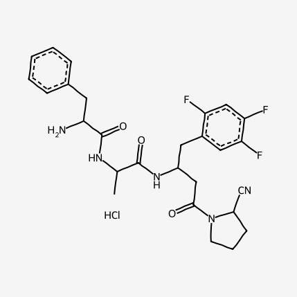 CC(NC(=O)C(N)Cc1ccccc1)C(=O)NC(CC(=O)N1CCCC1C#N)Cc1cc(F)c(F)cc1F.Cl